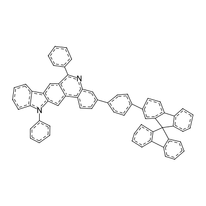 c1ccc(-c2nc3cc(-c4ccc(-c5ccc6c(c5)C5(c7ccccc7-c7ccccc75)c5ccccc5-6)cc4)ccc3c3cc4c(cc23)c2ccccc2n4-c2ccccc2)cc1